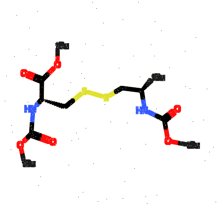 CC(C)(C)OC(=O)N[C@@H](CSSC[C@H](NC(=O)OC(C)(C)C)C(C)(C)C)C(=O)OC(C)(C)C